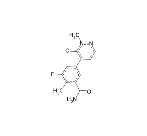 Cc1c(F)cc(-c2ccnn(C)c2=O)cc1C(N)=O